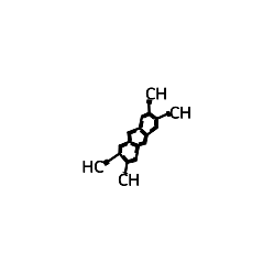 C#Cc1cc2cc3cc(C#C)c(C#C)cc3cc2cc1C#C